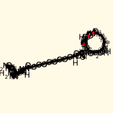 CO[C@H]1C[C@@H]2CCC[C@@](O)(O2)C(=O)C(=O)N2CCCC[C@H]2CO[C@H]([C@H](N)C[C@@H]2CC[C@@H](OC(=O)NCCOCCOCCOCCOCCOCCOCCOCCOCCC(=O)NCc3ncc(Cn4nc(-c5ccc6oc(N)nc6c5)c5c(N)ncnc54)cn3)[C@H](OC)C2)C[C@@H](O)[C@H](C)/C=C(\C)[C@@H](O)[C@@H](O)C(=O)[C@H](C)C[C@H](C)/C=C/C=C/C=C/1C